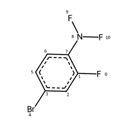 Fc1cc(Br)ccc1N(F)F